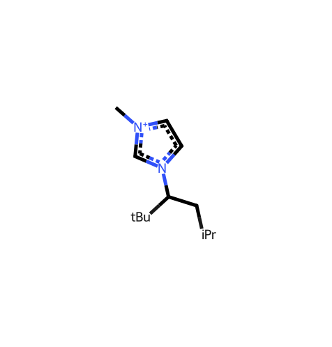 CC(C)CC(n1cc[n+](C)c1)C(C)(C)C